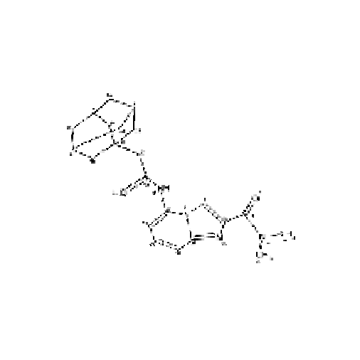 CN(C)C(=O)c1cn2c(NC(=O)CC34CC5CC(CC(C5)C3)C4)cccc2n1